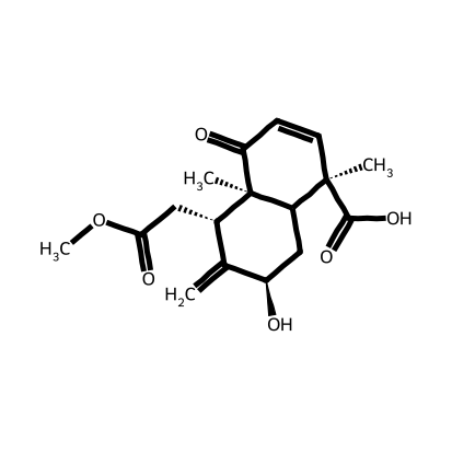 C=C1[C@H](O)CC2[C@](C)(C(=O)O)C=CC(=O)[C@]2(C)[C@H]1CC(=O)OC